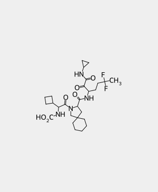 CC(F)(F)CCC(NC(=O)C1CC2(CCCCC2)CN1C(=O)C(NC(=O)O)C1CCC1)C(=O)C(=O)NC1CC1